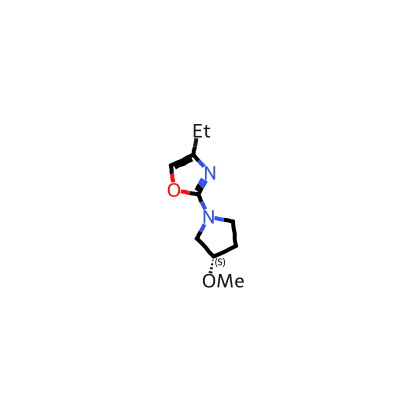 CCc1coc(N2CC[C@H](OC)C2)n1